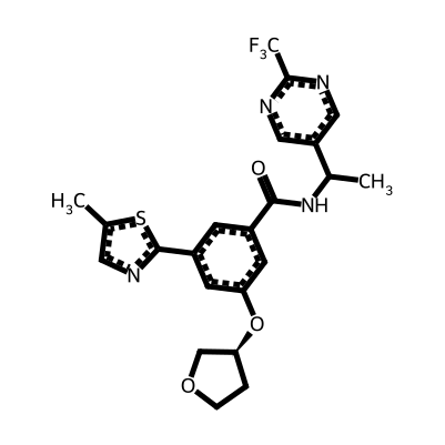 Cc1cnc(-c2cc(O[C@H]3CCOC3)cc(C(=O)NC(C)c3cnc(C(F)(F)F)nc3)c2)s1